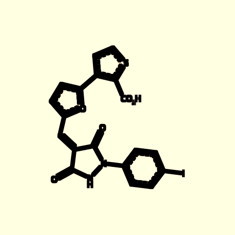 O=C1NN(c2ccc(I)cc2)C(=O)C1=Cc1ccc(-c2ccsc2C(=O)O)o1